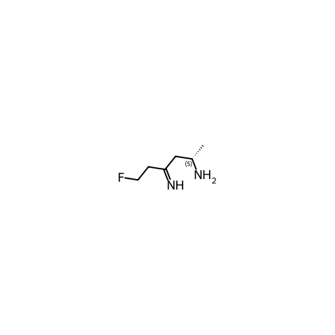 C[C@H](N)CC(=N)CCF